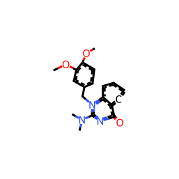 COc1ccc(Cn2c(N(C)C)nc(=O)c3ccccc32)cc1OC